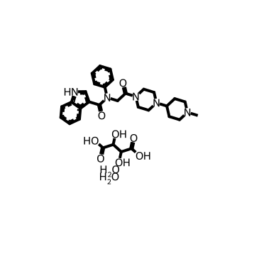 CN1CCC(N2CCN(C(=O)CN(C(=O)c3c[nH]c4ccccc34)c3ccccc3)CC2)CC1.O.O.O=C(O)C(O)C(O)C(=O)O